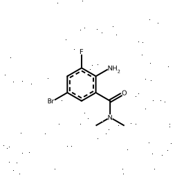 CN(C)C(=O)c1cc(Br)cc(F)c1N